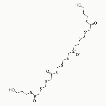 O=C(CSCSCC[S+]([O-])CSCSCSC(=O)CSCSCC(=O)SCCCO)SCCCO